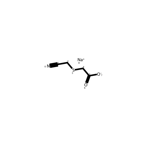 N#CCSCC(=O)[O-].[Na+]